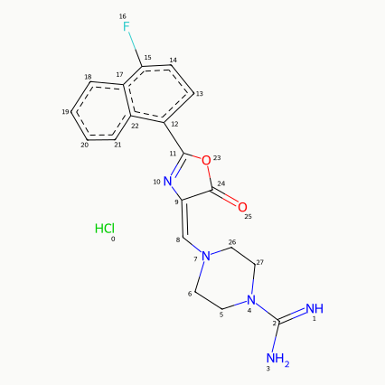 Cl.N=C(N)N1CCN(/C=C2/N=C(c3ccc(F)c4ccccc34)OC2=O)CC1